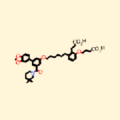 CC1(C)CCCN(C(=O)c2cc(OCCCCCCc3cccc(OCCCC(=O)O)c3CCC(=O)O)cc(-c3ccc4c(c3)OCO4)c2)C1